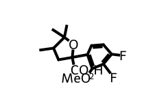 COc1c(C2(C(=O)O)CC(C)C(C)(C)O2)ccc(F)c1F